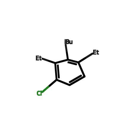 CCc1ccc(Cl)c(CC)c1C(C)CC